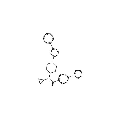 O=C(c1cnc(-n2ccnc2)nc1)N(C1CC1)C1CCN(c2nc(-c3ccccc3)no2)CC1